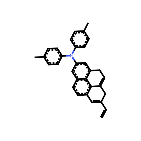 C=CC1=Cc2ccc3cc(N(c4ccc(C)cc4)c4ccc(C)cc4)cc4c3c2C(=CC4)C1